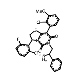 COc1cccc(-c2c3n(c(=O)n(CC(N)c4ccccc4)c2=O)C(c2c(F)cccc2C(F)(F)F)CS3)c1Cl